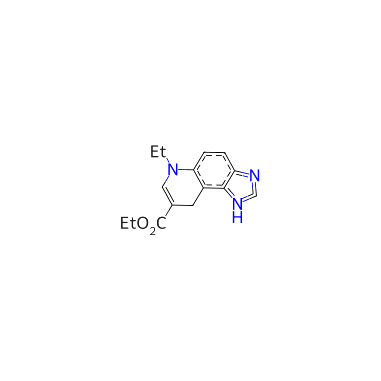 CCOC(=O)C1=CN(CC)c2ccc3nc[nH]c3c2C1